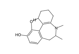 CC1Cc2ccc(O)c3c2C2=C(CCC[C@@H]2O3)N1C